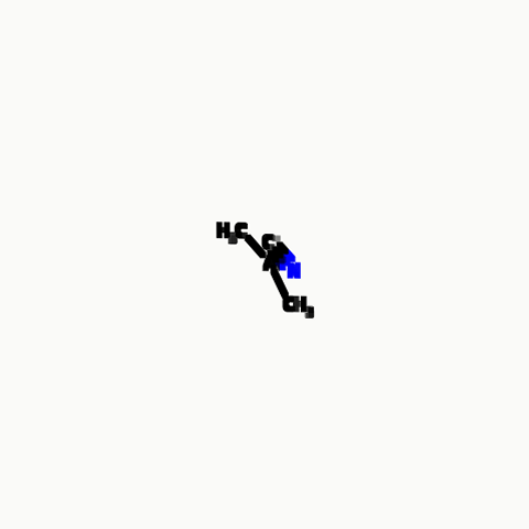 [C-]#N.[CH3][Al+][CH3]